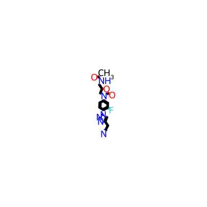 CC(=O)NCC1CN(c2ccc(-n3cc(CC#N)nn3)c(F)c2)C(=O)O1